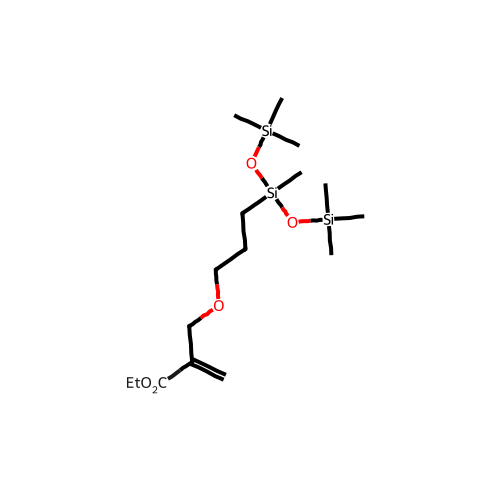 C=C(COCCC[Si](C)(O[Si](C)(C)C)O[Si](C)(C)C)C(=O)OCC